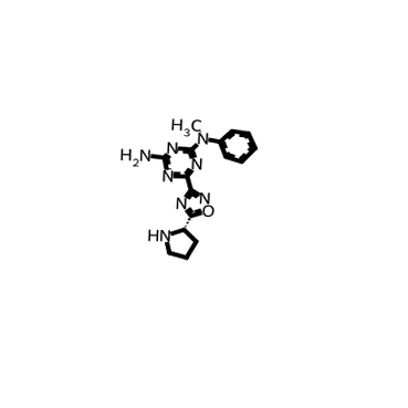 CN(c1ccccc1)c1nc(N)nc(-c2noc([C@@H]3CCCN3)n2)n1